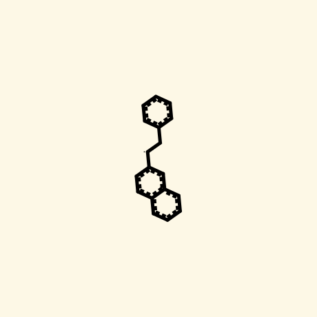 [CH](Cc1ccccc1)c1ccc2ccccc2c1